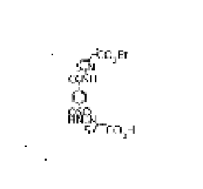 CCOC(=O)Cc1csc(NC(=O)c2ccc(S(=O)(=O)Nc3nc(CC(=O)O)cs3)cc2)n1